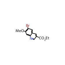 CCOC(=O)c1cnc2cc(OC)c(Br)cc2c1